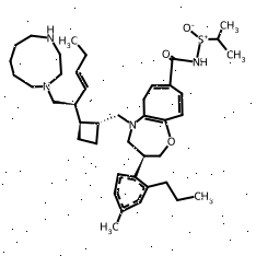 CC/C=C/[C@H](CN1CCCCCNCC1)[C@@H]1CC[C@H]1CN1C[C@H](c2ccc(C)cc2CCC)COC2=C1CC=C(C(=O)N[S+]([O-])C(C)C)C=C2